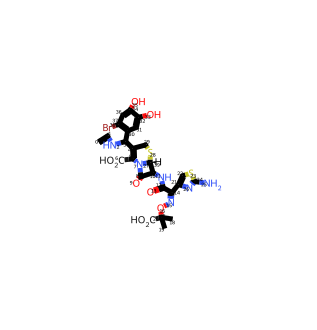 C=CNC(C1=C(C(=O)O)N2C(=O)C(NC(=O)/C(=N\OC(C)(C)C(=O)O)c3csc(N)n3)[C@@H]2SC1)c1cc(O)c(O)cc1Br